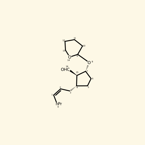 CCC/C=C\C[C@H]1CC[C@@H](OC2CCCCO2)[C@@H]1C=O